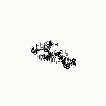 Cc1c(-c2ccc(N3CCc4cccc(C(=O)Nc5nc6ccccc6s5)c4C3)nc2C(=O)O)cnn1CC12CC3(C)CC(C)(C1)CC(OCCN(CC[SH2](O)(O)N(C)C)C(=O)OCc1ccc(CCCCNC(=O)CN4C(=O)C=CC4=O)cc1O[C@@H]1O[C@H](C(=O)O)[C@@H](O)[C@H](O)[C@H]1O)(C3)C2